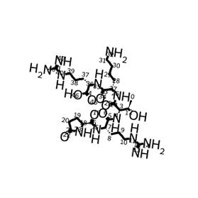 C[C@@H](O)[C@H](NC(=O)[C@H](CCCNC(=N)N)NC(=O)[C@@H]1CCC(=O)N1)C(=O)N[C@@H](CCCCN)C(=O)N[C@@H](CCCNC(=N)N)C(=O)O